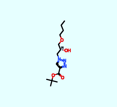 CCCCOC[C@H](O)Cn1cc(C(=O)OC(C)(C)C)nn1